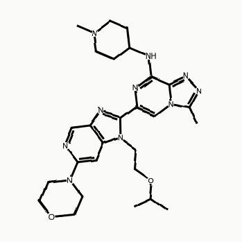 Cc1nnc2c(NC3CCN(C)CC3)nc(-c3nc4cnc(N5CCOCC5)cc4n3CCOC(C)C)cn12